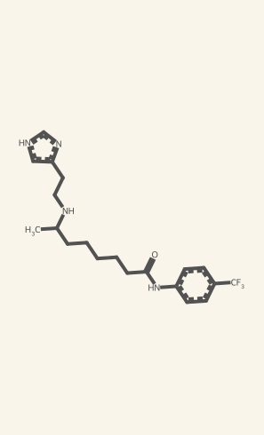 CC(CCCCCC(=O)Nc1ccc(C(F)(F)F)cc1)NCCc1c[nH]cn1